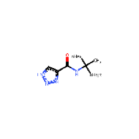 CCCCCCCC(C)(CCCCCC)NC(=O)c1c[nH]nn1